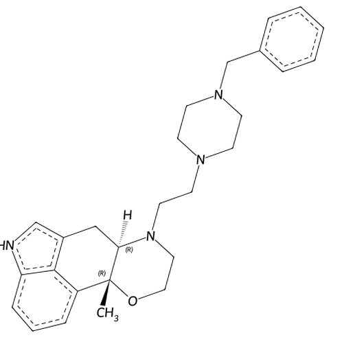 C[C@]12OCCN(CCN3CCN(Cc4ccccc4)CC3)[C@@H]1Cc1c[nH]c3cccc2c13